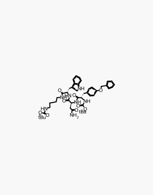 CC(C)(C)OC(=O)NCCCCNC(=O)[C@H](Cc1c[nH]c2ccccc12)NC(=O)[C@H](CC(N)=O)NC(=O)[C@H](Cc1ccc(OCc2ccccc2)cc1)NC(=O)OC(C)(C)C